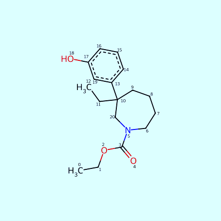 CCOC(=O)N1CCCCC(CC)(c2cccc(O)c2)C1